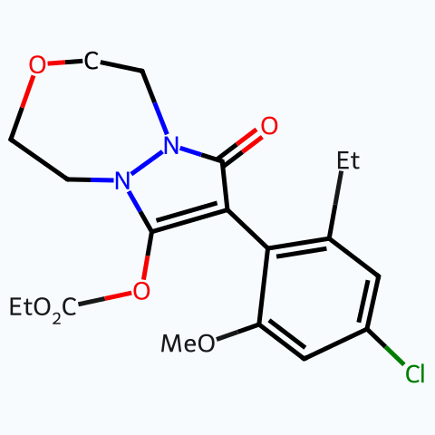 CCOC(=O)Oc1c(-c2c(CC)cc(Cl)cc2OC)c(=O)n2n1CCOCC2